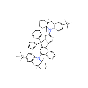 CC12CCCCC1(C)N(c1ccc3c(c1)C(c1ccccc1)(c1ccccc1)c1cc(N4c5ccc([Si](C)(C)C)cc5CC5(C)CCCCC45C)c4ccccc4c1-3)c1ccc([Si](C)(C)C)cc1C2